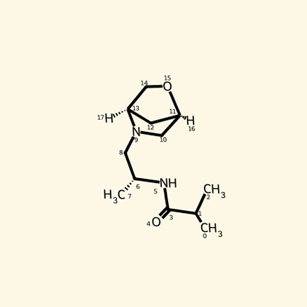 CC(C)C(=O)N[C@H](C)CN1C[C@H]2C[C@@H]1CO2